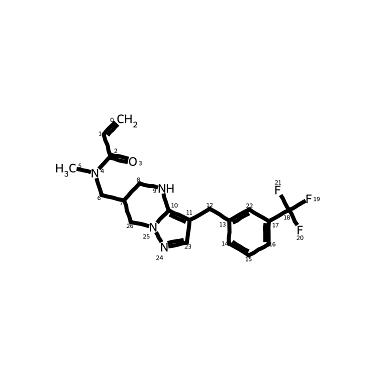 C=CC(=O)N(C)CC1CNc2c(Cc3cccc(C(F)(F)F)c3)cnn2C1